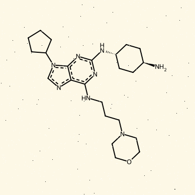 N[C@H]1CC[C@H](Nc2nc(NCCCN3CCOCC3)c3ncn(C4CCCC4)c3n2)CC1